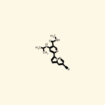 CNC(=O)c1cnc(-c2ccc3cc(C#N)cnn23)cc1NC(C)C